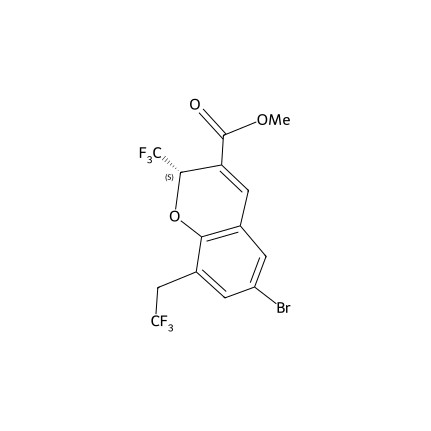 COC(=O)C1=Cc2cc(Br)cc(CC(F)(F)F)c2O[C@@H]1C(F)(F)F